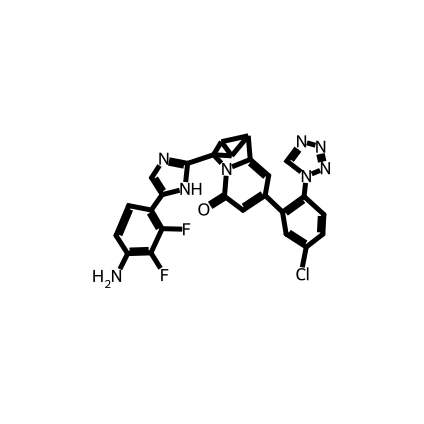 Nc1ccc(-c2cnc(C34C5C(c6cc(-c7cc(Cl)ccc7-n7cnnn7)cc(=O)n63)C54)[nH]2)c(F)c1F